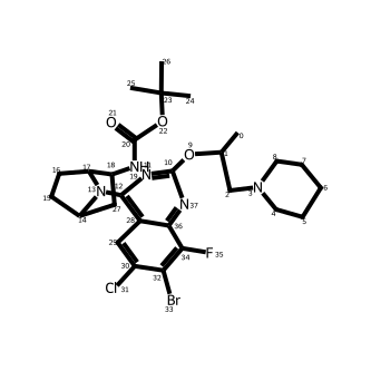 CC(CN1CCCCC1)Oc1nc(N2C3CCC2C(NC(=O)OC(C)(C)C)C3)c2cc(Cl)c(Br)c(F)c2n1